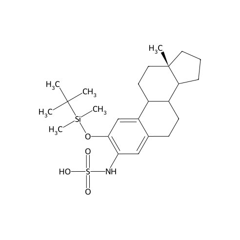 CC(C)(C)[Si](C)(C)Oc1cc2c(cc1NS(=O)(=O)O)CCC1C2CC[C@]2(C)CCCC12